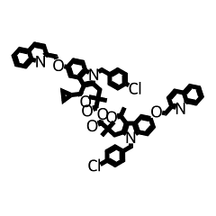 CC(=O)c1c(CC(C)(C)C(=O)OC(=O)C(C)(C)Cc2c(C(=O)C3CC3)c3cc(OCc4ccc5ccccc5n4)ccc3n2Cc2ccc(Cl)cc2)n(Cc2ccc(Cl)cc2)c2ccc(OCc3ccc4ccccc4n3)cc12